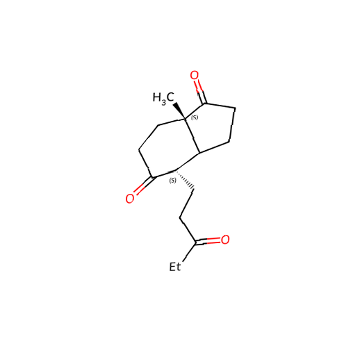 CCC(=O)CC[C@@H]1C(=O)CC[C@]2(C)C(=O)CCC12